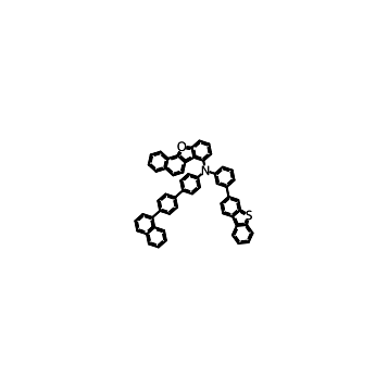 c1cc(-c2ccc3c(c2)sc2ccccc23)cc(N(c2ccc(-c3ccc(-c4cccc5ccccc45)cc3)cc2)c2cccc3oc4c5ccccc5ccc4c23)c1